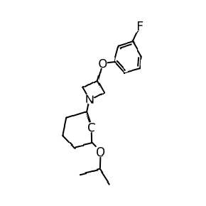 CC(C)OC1CCCC(N2CC(Oc3cccc(F)c3)C2)C1